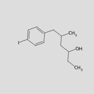 CCC(O)CC(C)Cc1ccc(I)cc1